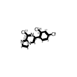 Clc1ccc(-c2cn3ccnc3c(Cl)n2)c(Cl)c1